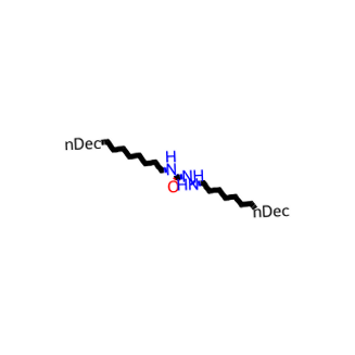 CCCCCCCCCCCCCCCCCCNC(=O)NNCCCCCCCCCCCCCCCCC